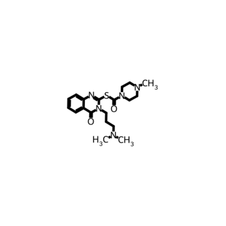 CN(C)CCCn1c(SC(=O)N2CCN(C)CC2)nc2ccccc2c1=O